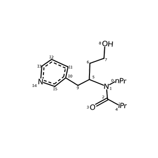 [CH2]CCN(C(=O)C(C)C)C(CCO)Cc1cccnc1